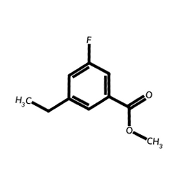 CCc1cc(F)cc(C(=O)OC)c1